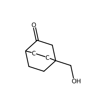 O=C1CC2(CO)CCC1CC2